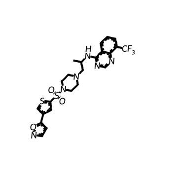 CC(CN1CCN(S(=O)(=O)c2cc(-c3ccno3)cs2)CC1)Nc1ncnc2c(C(F)(F)F)cccc12